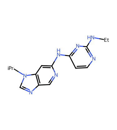 CCNc1nccc(Nc2cc3c(cn2)ncn3C(C)C)n1